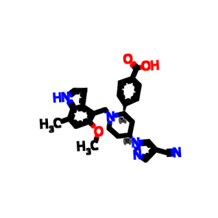 COc1cc(C)c2[nH]ccc2c1CN1CC[C@@H](n2cc(C#N)cn2)C[C@H]1c1ccc(C(=O)O)cc1